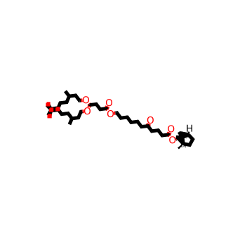 CC(C)=CCCC(C)CCOC(CCC(=O)OCCCCCCC(=O)CCCC(=O)O[C@@H]1C[C@@H]2CC[C@@]1(C)C2(C)C)OCCC(C)CCC=C(C)C